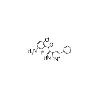 Nc1ccc(Cl)c(C(=O)c2c[nH]c3ncc(-c4ccccc4)cc23)c1F